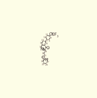 O=c1c2cc(-c3ccc(OC(F)(F)F)cc3)ccc2cnn1CCCOc1ccccn1